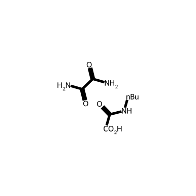 CCCCNC(=O)C(=O)O.NC(=O)C(N)=O